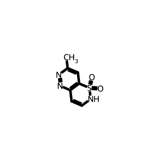 Cc1cc2c(nn1)C=CNS2(=O)=O